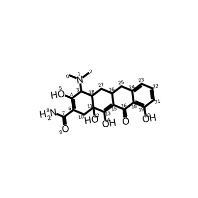 CN(C)C1C(O)=C(C(N)=O)CC2(O)C(O)=C3C(=O)c4c(O)cccc4CC3CC12